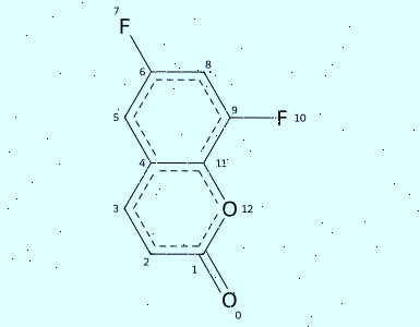 O=c1ccc2cc(F)[c]c(F)c2o1